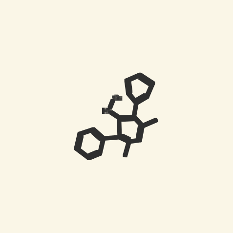 Cc1cc(C)c(-c2ccccc2)c(NC(C)(C)C)c1-c1ccccc1